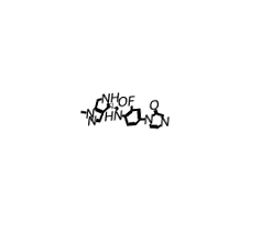 Cn1ncc2c1CN[C@@H]2C(=O)Nc1ccc(-n2ccncc2=O)cc1F